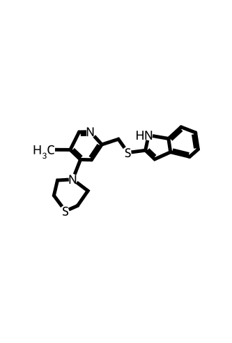 Cc1cnc(CSc2cc3ccccc3[nH]2)cc1N1CCSCC1